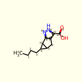 CCCCC1C2Cc3c(n[nH]c3C(=O)O)C12